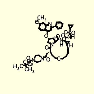 COc1ccc2c(O[C@@H]3C[C@H]4C(=O)N[C@]5(C(=O)NS(=O)(=O)C6CC6)C[C@H]5C=CCCCCC[C@H](CC(=O)N5CCN(C(=O)OC(C)(C)C)CC5)C(=O)N4C3)cc(-c3ccccc3)nc2c1